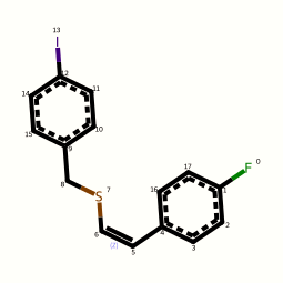 Fc1ccc(/C=C\SCc2ccc(I)cc2)cc1